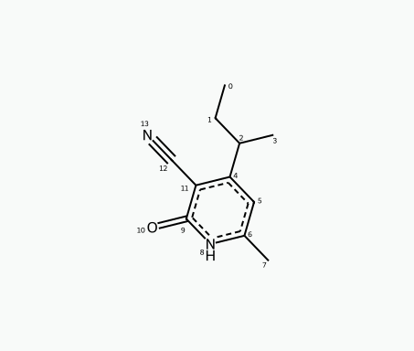 CCC(C)c1cc(C)[nH]c(=O)c1C#N